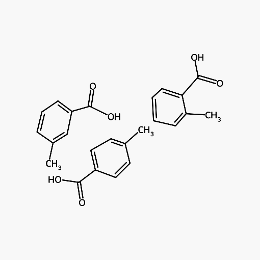 Cc1ccc(C(=O)O)cc1.Cc1cccc(C(=O)O)c1.Cc1ccccc1C(=O)O